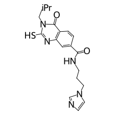 CC(C)Cn1c(S)nc2cc(C(=O)NCCCn3ccnc3)ccc2c1=O